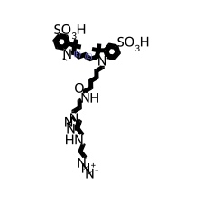 CN1/C(=C/C=C/C2=[N+](CCCCCC(=O)NCCCn3cc(CNCCCN=[N+]=[N-])nn3)c3ccc(S(=O)(=O)O)cc3C2(C)C)C(C)(C)c2cc(S(=O)(=O)O)ccc21